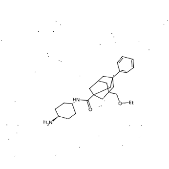 CCOCC12CC3CC(C(=O)N[C@H]4CC[C@H](N)CC4)(C1)CC(c1ccccc1)(C3)C2